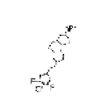 CCCC1CCC2C(CCC3CC(CCc4cc(F)c(Cl)c(F)c4)CCC32)C1